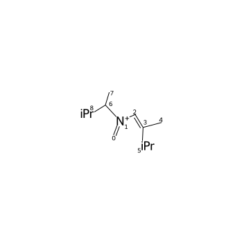 C=[N+](/C=C(/C)C(C)C)C(C)C(C)C